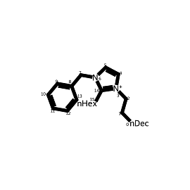 CCCCCCCCCCCC[n+]1ccn(Cc2ccccc2)c1CCCCCC